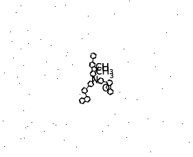 CC1(C)c2cc(-c3ccccc3)ccc2-c2ccc(N(c3ccc(-c4cccc(-c5cccc6ccccc56)c4)cc3)c3ccc(-c4cccc5c4oc4ccccc45)cc3)cc21